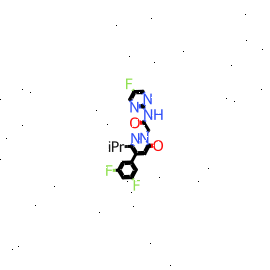 CC(C)c1nn(CC(=O)Nc2ncc(F)cn2)c(=O)cc1-c1cc(F)cc(F)c1